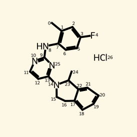 Cc1cc(F)ccc1Nc1nccc(N2CCc3ccccc3C2C)n1.Cl